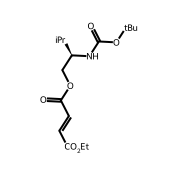 CCOC(=O)/C=C/C(=O)OC[C@H](NC(=O)OC(C)(C)C)C(C)C